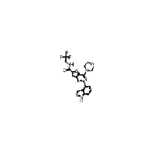 O=C(NCC(F)(F)F)c1cc2nc(-c3cccc4[nH]ncc34)nc(N3CCOCC3)c2s1